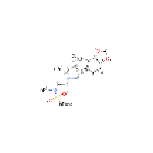 CCCCCS(=O)(=O)N(CCC)CCN1C[C@H](c2ccc3c(c2)OCO3)[C@H](C(=O)O)[C@H]1CCC